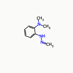 C=NNc1ccccc1N(C)C